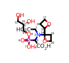 O=C(O)CN(C(C(=O)O)P(=O)(O)OC[C@@H](O)CO)C1(C2CCO2)CCO1